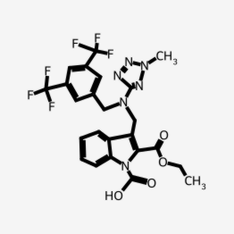 CCOC(=O)c1c(CN(Cc2cc(C(F)(F)F)cc(C(F)(F)F)c2)c2nnn(C)n2)c2ccccc2n1C(=O)O